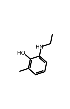 CCNc1cccc(C)c1O